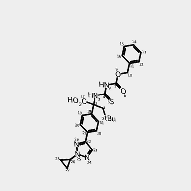 CC(C)(C)CC(NC(=S)NC(=O)OCc1ccccc1)(C(=O)O)c1ccc(-c2cnn(C3CC3)n2)cc1